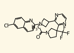 CC(=O)N1CCC(c2nccnc2C2CN(c3ccc4cc(Cl)ccc4n3)C2)(C(F)(F)F)C1